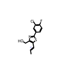 C/C=C/c1sc(-c2ccc(F)c(Cl)c2)nc1CO